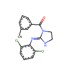 N#Cc1cccc(C(=O)N2CCNC2=Nc2c(Cl)cccc2Cl)c1